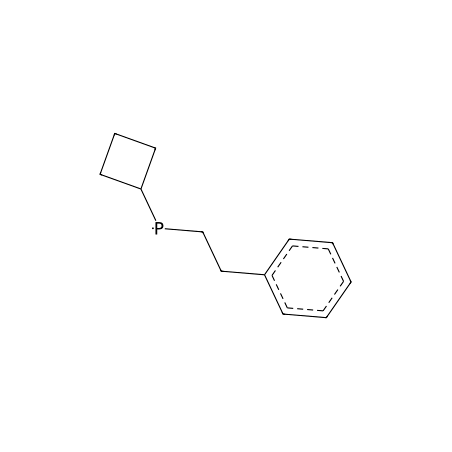 c1ccc(CC[P]C2CCC2)cc1